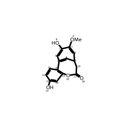 COC1=CC2C=C(C=C1O)c1ccc(O)cc1OC(=O)C2